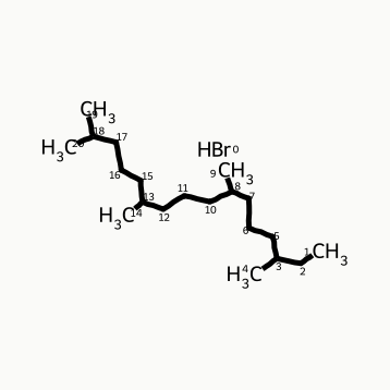 Br.CCC(C)CCCC(C)CCCC(C)CCCC(C)C